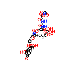 C[C@]12C=CC(=O)C=C1CC[C@@H]1[C@@H]2[C@@H](O)C[C@@]2(C)[C@H]1C[C@H]1O[C@@H](c3ccc(CC4CC5(CO4)CN(C(=O)OCc4ccc(O[C@@H]6O[C@H](C(=O)O)[C@@H](O)[C@H](O)[C@H]6O)c(NC(=O)CCNC(=O)CCC(=O)ON6C(=O)CCC6=O)c4)C5)cc3)O[C@]12C(=O)CO